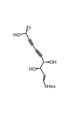 CCCCCC/C=C/[C@@H](O)[C@H](O)C#CC#C[C@@H](O)CC